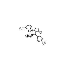 Cl.N#Cc1ccc(C(N)C2=C(Nc3cccc(C(F)(F)F)c3)CCC2=O)cc1